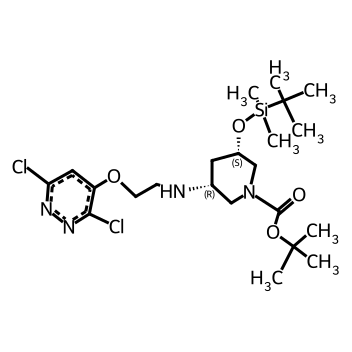 CC(C)(C)OC(=O)N1C[C@H](NCCOc2cc(Cl)nnc2Cl)C[C@H](O[Si](C)(C)C(C)(C)C)C1